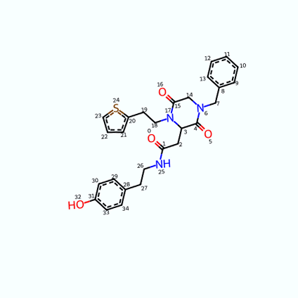 O=C(CC1C(=O)N(Cc2ccccc2)CC(=O)N1CCc1cccs1)NCCc1ccc(O)cc1